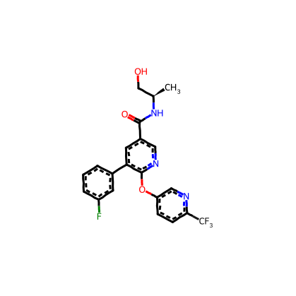 C[C@H](CO)NC(=O)c1cnc(Oc2ccc(C(F)(F)F)nc2)c(-c2cccc(F)c2)c1